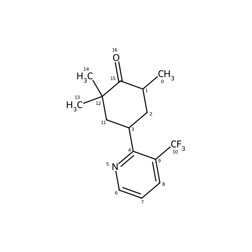 CC1CC(c2ncccc2C(F)(F)F)CC(C)(C)C1=O